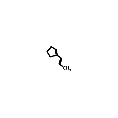 C/C=[C]/C1=CCCC1